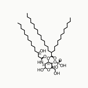 CCCCCCCCCCCCCCC(CCCCCCCCCCCC)C(=O)O[C@H]1[C@H](OP(=O)(O)O)[C@@H](CO)OC(O)[C@@H]1NC(=O)C[C@H](O)CCCCCCCCCCC